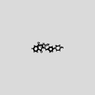 CN1CCN(c2ccc(Cn3c4c(n[n+]3[O-])C(=O)c3ccccc3C4=O)cc2)CC1